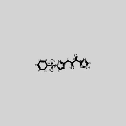 O=C(Cc1ccn(S(=O)(=O)C2C=CC=CC2)n1)C(=O)c1nc[nH]n1